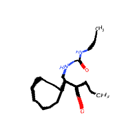 CCNC(=O)NC(C(=O)CC)C1CCCCC1